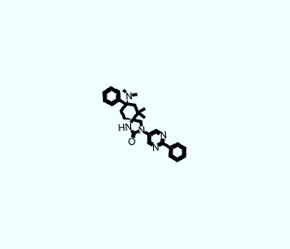 CN(C)[C@@]1(c2ccccc2)CC[C@]2(CN(c3cnc(-c4ccccc4)nc3)C(=O)N2)C(C)(C)C1